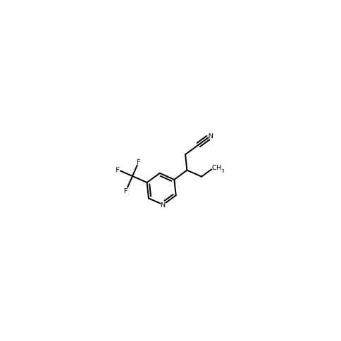 CCC(CC#N)c1cncc(C(F)(F)F)c1